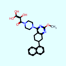 COc1nc2c(c(N3CCN(C(=O)C(O)=C(O)O)CC3)n1)CCC(c1cccc3ccccc13)C2